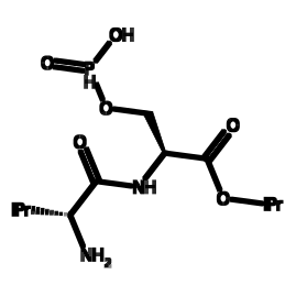 CC(C)OC(=O)[C@H](CO[PH](=O)O)NC(=O)[C@H](N)C(C)C